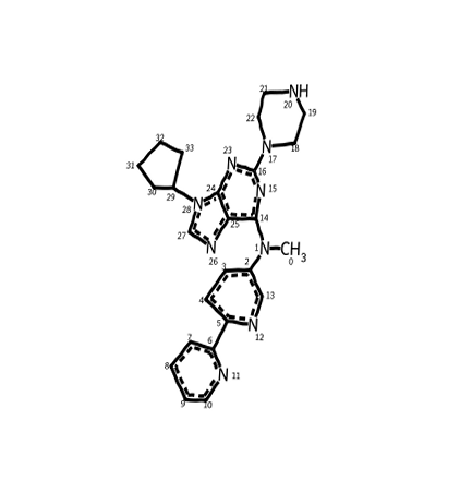 CN(c1ccc(-c2ccccn2)nc1)c1nc(N2CCNCC2)nc2c1ncn2C1CCCC1